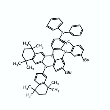 Cc1ccc(C(C)(C)C)cc1N1c2cc(N(c3ccccc3)c3ccccc3)ccc2B2c3cc4c(cc3N(c3ccc5c(c3)C(C)(C)CCC5(C)C)c3cc(C(C)(C)C)cc1c32)C(C)(C)CCC4(C)C